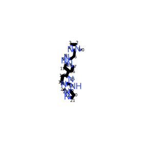 Cn1ccnc1Cc1nnc2cc(-c3ccnc(Nc4ccnn4C)n3)ccn12